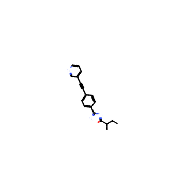 CCC(C)c1nc(-c2ccc(C#Cc3cccnc3)cc2)no1